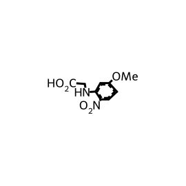 COc1ccc([N+](=O)[O-])c(NCC(=O)O)c1